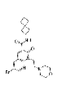 O=C(NC1CC2(CCC2)C1)c1cc2cc(Br)cnc2n(CCN2CCOCC2)c1=O